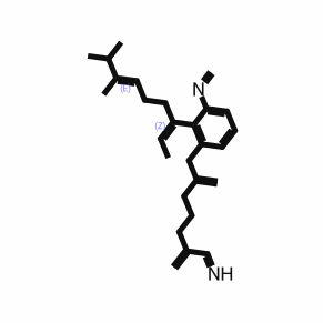 C=Nc1cccc(CC(=C)CCCC(=C)C=N)c1/C(=C\C)CC/C=C(\C)C(C)C